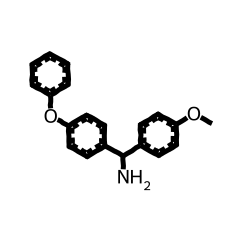 COc1ccc(C(N)c2ccc(Oc3ccccc3)cc2)cc1